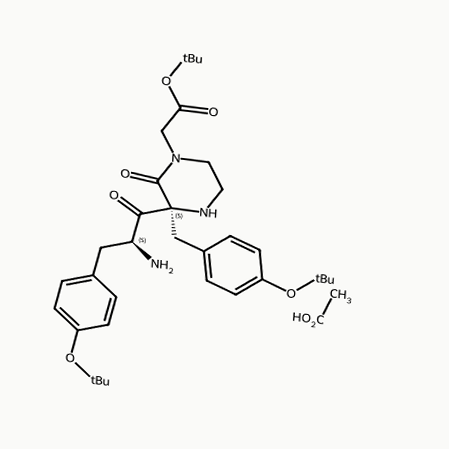 CC(=O)O.CC(C)(C)OC(=O)CN1CCN[C@@](Cc2ccc(OC(C)(C)C)cc2)(C(=O)[C@@H](N)Cc2ccc(OC(C)(C)C)cc2)C1=O